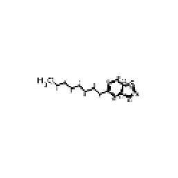 CCCCCCCCc1ccc2sncc2c1